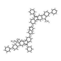 C=C1c2cc(-c3ccccc3)ccc2-c2cc3c(cc21)c1cc(-c2cc4sc(-c5ccc6c(c5)c5cc7c(cc5n6-c5ccccc5)-c5ccc(-c6ccccc6)cc5C7(C)C)cc4s2)ccc1n3-c1ccccc1